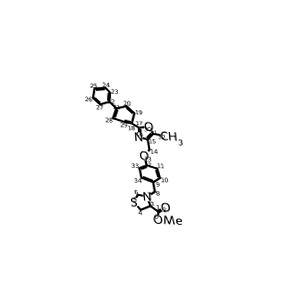 COC(=O)C1CSCN1Cc1ccc(OCc2nc(-c3ccc(-c4ccccc4)cc3)oc2C)cc1